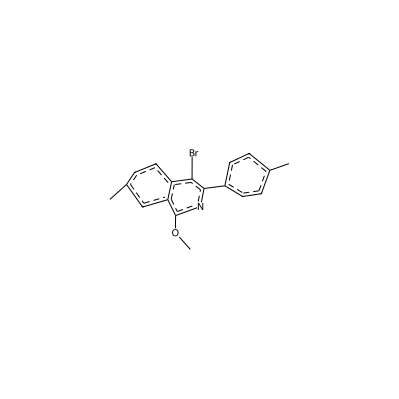 COc1nc(-c2ccc(C)cc2)c(Br)c2ccc(C)cc12